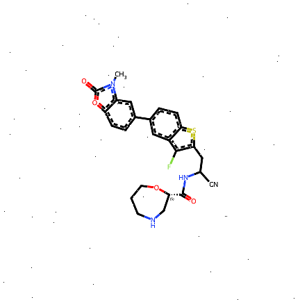 Cn1c(=O)oc2ccc(-c3ccc4sc(CC(C#N)NC(=O)[C@@H]5CNCCCO5)c(F)c4c3)cc21